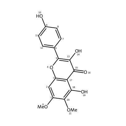 COc1cc2oc(-c3ccc(O)cc3)c(O)c(=O)c2c(O)c1OC